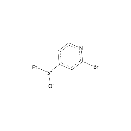 CC[S+]([O-])c1ccnc(Br)c1